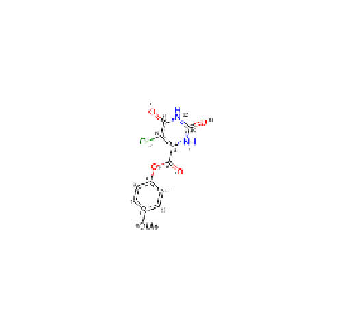 COc1ccc(OC(=O)c2[nH]c(=O)[nH]c(=O)c2Cl)cc1